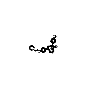 CCc1c(-c2ccc(O)cc2)c2cc(-c3ccc(OCCN4CCCCC4)cc3)c3cccc1n32